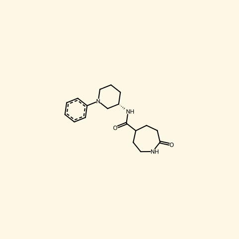 O=C1CCC(C(=O)N[C@H]2CCCN(c3ccccc3)C2)CCN1